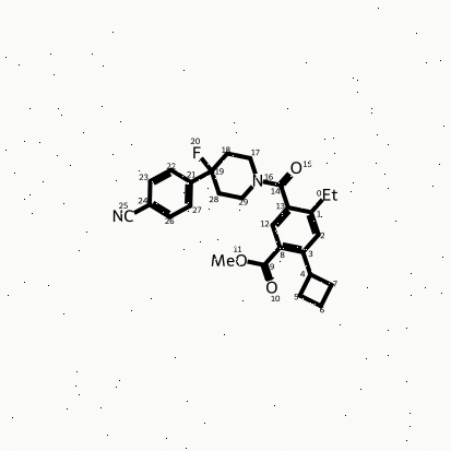 CCc1cc(C2CCC2)c(C(=O)OC)cc1C(=O)N1CCC(F)(c2ccc(C#N)cc2)CC1